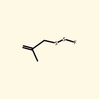 C=C(C)CSSF